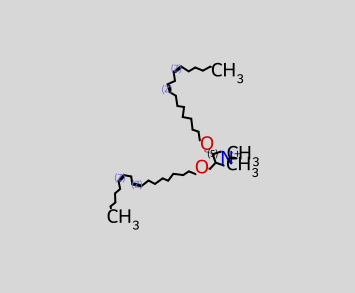 CCCCC/C=C\C/C=C\CCCCCCCCOCC1C[N+](C)(C)C[C@H]1COCCCCCCCC/C=C\C/C=C\CCCCC